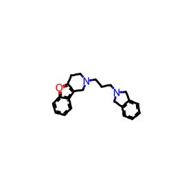 c1ccc2c(c1)CN(CCCN1CCc3oc4ccccc4c3C1)C2